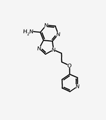 Nc1ncnc2c1ncn2CCOc1cccnc1